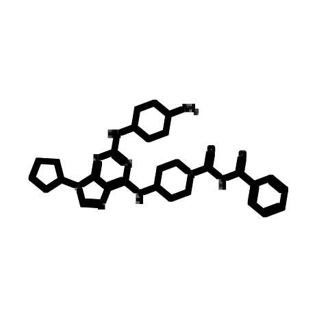 NC1CCC(Nc2nc(NC3CCN(C(=O)NC(=O)c4ccccc4)CC3)c3ncn(C4CCCC4)c3n2)CC1